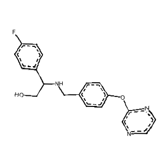 OCC(NCc1ccc(Oc2cnccn2)cc1)c1ccc(F)cc1